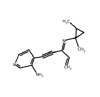 C=C/C(C#Cc1ccncc1N)=N\C1(C)CC1C